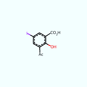 CC(=O)c1cc(I)cc(C(=O)O)c1O